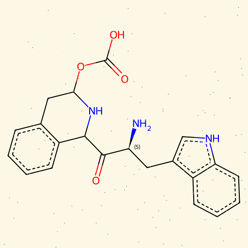 N[C@@H](Cc1c[nH]c2ccccc12)C(=O)C1NC(OC(=O)O)Cc2ccccc21